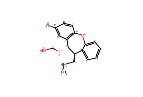 CNC[C@@H]1c2ccccc2Oc2ccc(Cl)cc2[C@H]1OCO